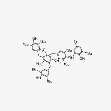 CCc1cc(C(C)(C)C)c(O)c(C(C)(C)C)c1.Cc1c(Cc2cc(C(C)(C)C)c(O)c(C(C)(C)C)c2)c(C)c(Cc2cc(C(C)(C)C)c(O)c(C(C)(C)C)c2)c(C)c1Cc1cc(C(C)(C)C)c(O)c(C(C)(C)C)c1